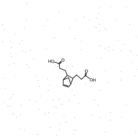 O=C(O)CCC1C2C=CC(C2)C1CCC(=O)O